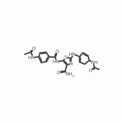 CC(=O)Nc1ccc(C(=O)Nc2sc(NC3=CCC(NC(C)=O)C=C3)nc2C(N)=O)cc1